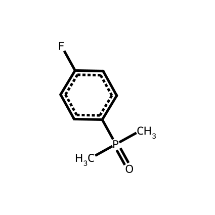 CP(C)(=O)c1ccc(F)cc1